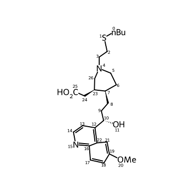 CCCCSCCN1CC[C@@H](CC[C@H](O)c2ccnc3ccc(OC)cc23)[C@@H](CC(=O)O)C1